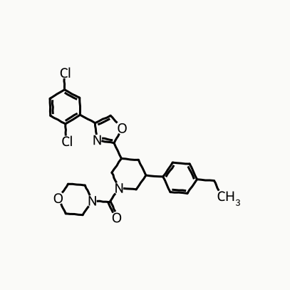 CCc1ccc(C2CC(c3nc(-c4cc(Cl)ccc4Cl)co3)CN(C(=O)N3CCOCC3)C2)cc1